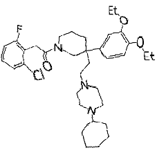 CCOc1ccc(C2(CCN3CCN(C4CCCCC4)CC3)CCCN(C(=O)Cc3c(F)cccc3Cl)C2)cc1OCC